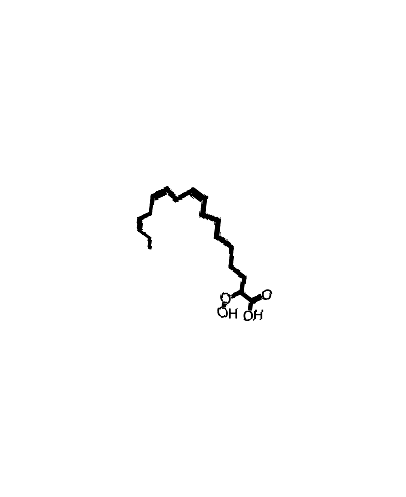 CC/C=C\C/C=C\C/C=C\CCCCCCC(OO)C(=O)O